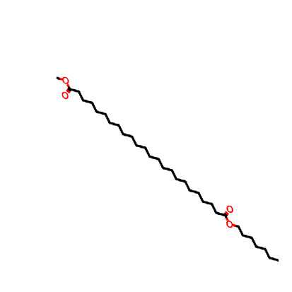 CCCCCCCOC(=O)CCCCCCCCCCCCCCCCCCCCCCC(=O)OC